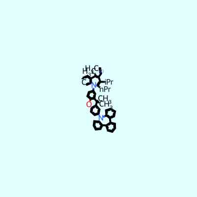 C/C=C\C1=C(C)c2ccccc2N(c2ccc3c(c2)C(C)(C)c2cc(N4c5ccccc5-c5ccccc5-c5ccccc54)ccc2O3)C(CCC)=C1C(C)C